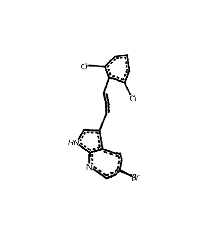 Clc1cccc(Cl)c1C=Cc1c[nH]c2ncc(Br)cc12